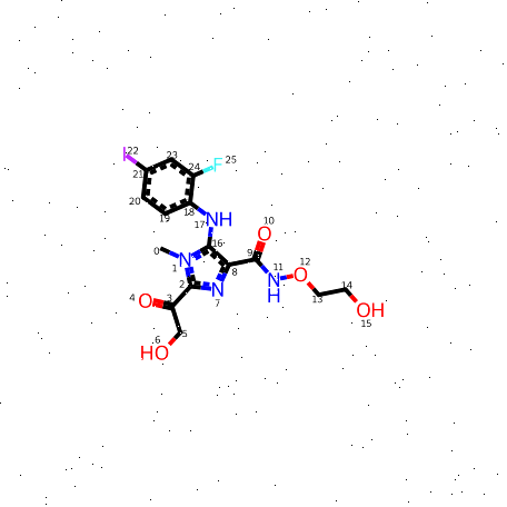 Cn1c(C(=O)CO)nc(C(=O)NOCCO)c1Nc1ccc(I)cc1F